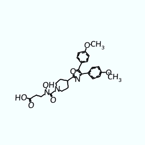 COc1ccc(-c2nc(C3CCN(C(=O)N(O)CCC(=O)O)CC3)oc2-c2ccc(OC)cc2)cc1